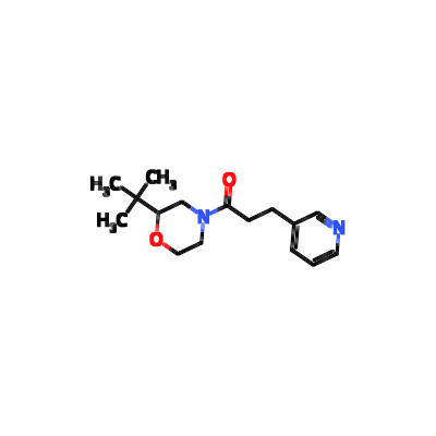 CC(C)(C)C1CN(C(=O)CCc2cccnc2)CCO1